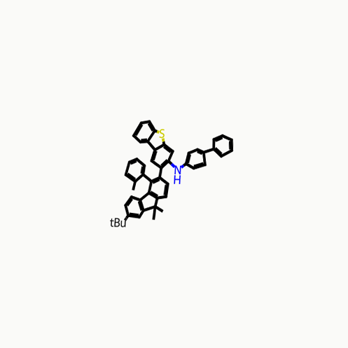 Cc1ccccc1-c1c(-c2cc3c(cc2Nc2ccc(-c4ccccc4)cc2)sc2ccccc23)ccc2c1-c1ccc(C(C)(C)C)cc1C2(C)C